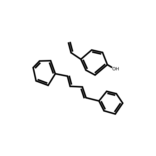 C(C=Cc1ccccc1)=Cc1ccccc1.C=Cc1ccc(O)cc1